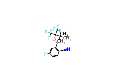 CC(C)(C)C(OCc1cc(F)ccc1C#N)(C(F)(F)F)C(F)(F)F